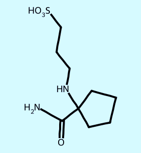 NC(=O)C1(NCCCS(=O)(=O)O)CCCC1